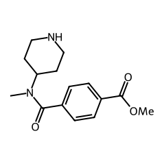 COC(=O)c1ccc(C(=O)N(C)C2CCNCC2)cc1